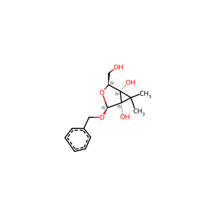 CC1(C)[C@]2(O)[C@H](CO)O[C@H](OCc3ccccc3)[C@]12O